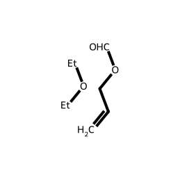 C=CCOC=O.CCOCC